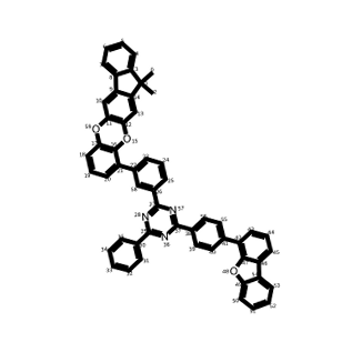 CC1(C)c2ccccc2-c2cc3c(cc21)Oc1c(cccc1-c1cccc(-c2nc(-c4ccccc4)nc(-c4ccc(-c5cccc6c5oc5ccccc56)cc4)n2)c1)O3